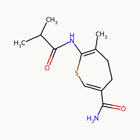 CC1=C(NC(=O)C(C)C)SC=C(C(N)=O)CC1